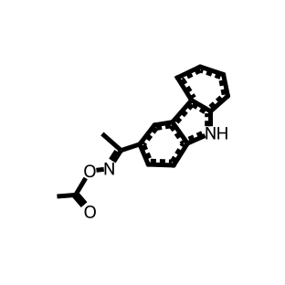 CC(=O)ON=C(C)c1ccc2[nH]c3ccccc3c2c1